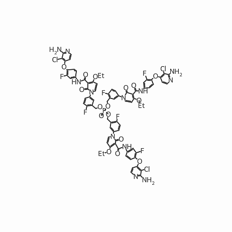 CCOc1ccn(-c2ccc(F)c(COP(=O)(OCc3cc(-n4ccc(OCC)c(C(=O)Nc5ccc(Oc6ccnc(N)c6Cl)c(F)c5)c4=O)ccc3F)OCc3cc(-n4ccc(OCC)c(C(=O)Nc5ccc(Oc6ccnc(N)c6Cl)c(F)c5)c4=O)ccc3F)c2)c(=O)c1C(=O)Nc1ccc(Oc2ccnc(N)c2Cl)c(F)c1